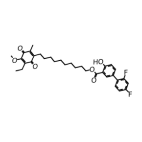 CCC1=C(OC)C(=O)C(C)=C(CCCCCCCCCCOC(=O)c2cc(-c3ccc(F)cc3F)ccc2O)C1=O